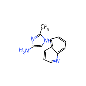 Nc1c[nH]c(C(F)(F)F)n1.c1ccc2ncccc2c1